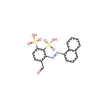 O=Cc1ccc(S(=O)(=O)O)c(S(=O)(=O)O)c1N=Nc1cccc2ccccc12